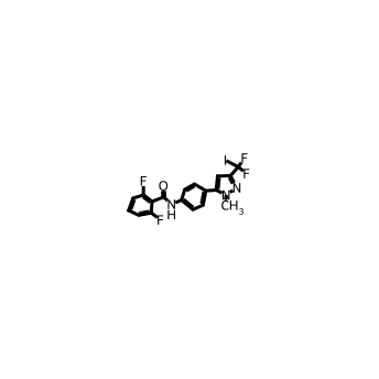 Cn1nc(C(F)(F)I)cc1-c1ccc(NC(=O)c2c(F)cccc2F)cc1